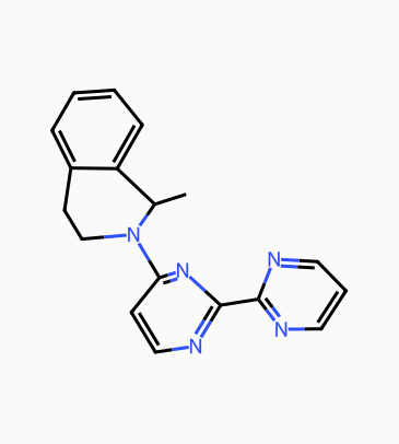 CC1c2ccccc2CCN1c1ccnc(-c2ncccn2)n1